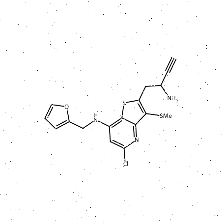 C#CC(N)Cc1sc2c(NCc3ccco3)cc(Cl)nc2c1SC